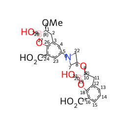 CO[C@H]1Cc2cc(N3CC(O[C@H]4Cc5cccc(C(=O)O)c5OB4O)C3)cc(C(=O)O)c2OB1O